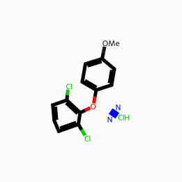 COc1ccc(Oc2c(Cl)cccc2Cl)cc1.Cl.N#N